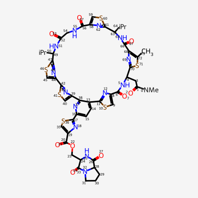 CNC(=O)CC1NC(=O)c2csc(n2)-c2ccc(-c3nc(C(=O)OCC4NC(=O)C5CCCN5C4=O)cs3)nc2-c2csc(n2)-c2csc(n2)C(C(C)C)NC(=O)CNC(=O)c2csc(n2)C(C(C)C)NC(=O)c2nc1sc2C